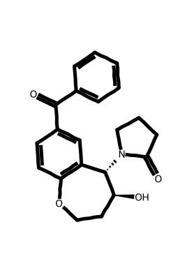 O=C(c1ccccc1)c1ccc2c(c1)[C@H](N1CCCC1=O)[C@@H](O)CCO2